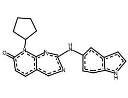 O=c1ccc2cnc(Nc3ccc4[nH]ccc4c3)nc2n1C1CCCC1